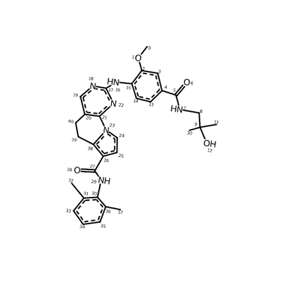 COc1cc(C(=O)NCC(C)(C)O)ccc1Nc1ncc2c(n1)-n1ccc(C(=O)Nc3c(C)cccc3C)c1CC2